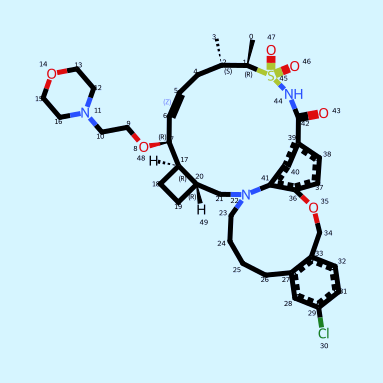 C[C@@H]1[C@@H](C)C/C=C\[C@H](OCCN2CCOCC2)[C@@H]2CC[C@H]2CN2CCCCc3cc(Cl)ccc3COc3ccc(cc32)C(=O)NS1(=O)=O